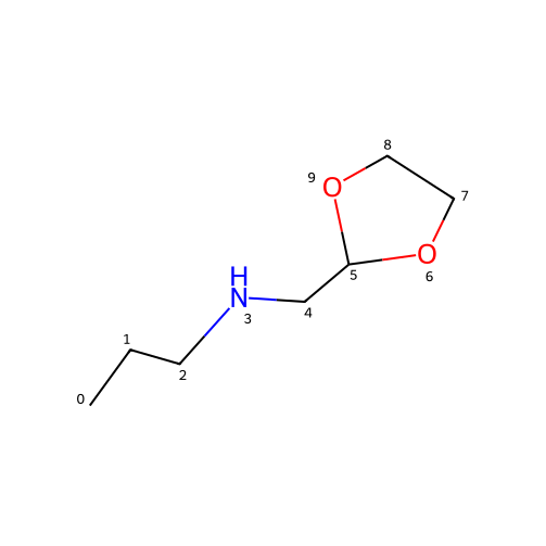 CCCNCC1OCCO1